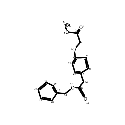 CCCCOC(=O)COc1ccc(CC(=O)OCc2ccccc2)cc1